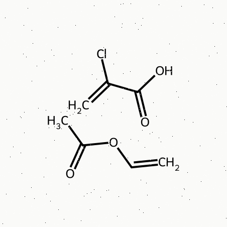 C=C(Cl)C(=O)O.C=COC(C)=O